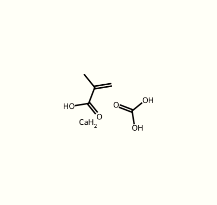 C=C(C)C(=O)O.O=C(O)O.[CaH2]